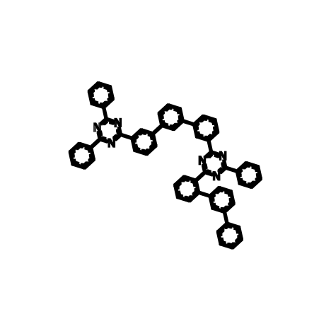 c1ccc(-c2cccc(-c3ccccc3-c3nc(-c4ccccc4)nc(-c4cccc(-c5cccc(-c6cccc(-c7nc(-c8ccccc8)nc(-c8ccccc8)n7)c6)c5)c4)n3)c2)cc1